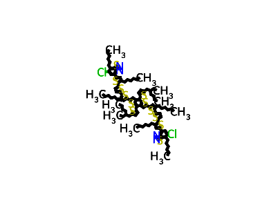 CCCCCCc1cc(-c2cc3c(-c4ccc(CC(CC)CCCC)s4)c4sc(-c5cc(CCCCCC)c(-c6ccc(-c7sc(-c8cc(Cl)c(CCCCCC)c9snnc89)cc7CCCCCC)s6)s5)cc4c(-c4ccc(CC(CC)CCCC)s4)c3s2)sc1-c1ccc(-c2sc(-c3cc(Cl)c(CCCCCC)c4snnc34)cc2CCCCCC)s1